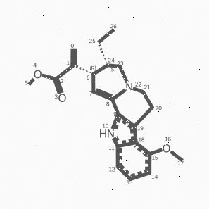 C=C(C(=O)OC)[C@H]1C=C2c3[nH]c4cccc(OC)c4c3CCN2C[C@H]1CC